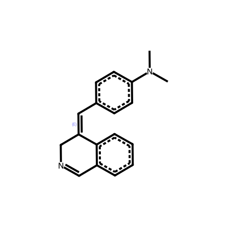 CN(C)c1ccc(/C=C2/CN=Cc3ccccc32)cc1